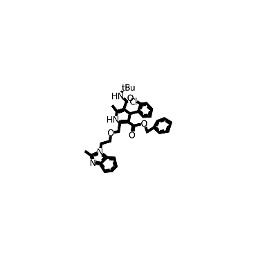 CC1=C(C(=O)NC(C)(C)C)C(c2ccccc2Cl)C(C(=O)OCc2ccccc2)=C(COCCn2c(C)nc3ccccc32)N1